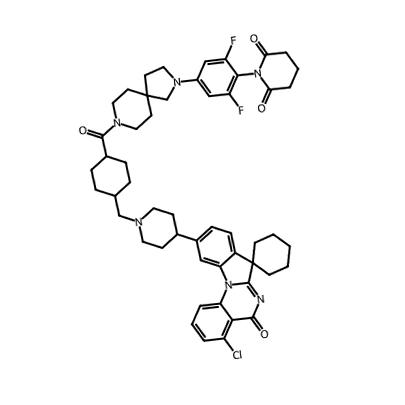 O=C(C1CCC(CN2CCC(c3ccc4c(c3)-n3c(nc(=O)c5c(Cl)cccc53)C43CCCCC3)CC2)CC1)N1CCC2(CC1)CCN(c1cc(F)c(N3C(=O)CCCC3=O)c(F)c1)C2